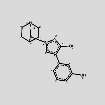 Oc1cccc(-c2cn(C3CN4CCC3CC4)nc2O)c1